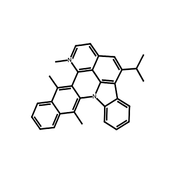 Cc1c2ccccc2c(C)c2c1c1c3c(cc[n+]1C)cc(C(C)C)c1c4ccccc4n2c13